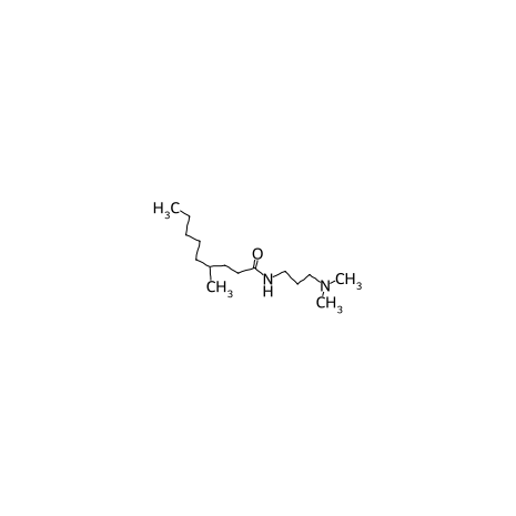 CCCCCC(C)CCC(=O)NCCCN(C)C